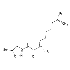 C=S(CCC)CCCCC[C@H](C)C(=O)Nc1cc(C(C)(C)C)on1